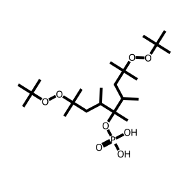 CC(CC(C)(C)OOC(C)(C)C)C(C)(OP(=O)(O)O)C(C)CC(C)(C)OOC(C)(C)C